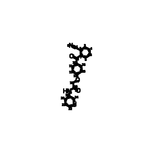 N#Cc1ccccc1C(=O)c1ccc(OCC(=O)Nc2cccnc2)cc1